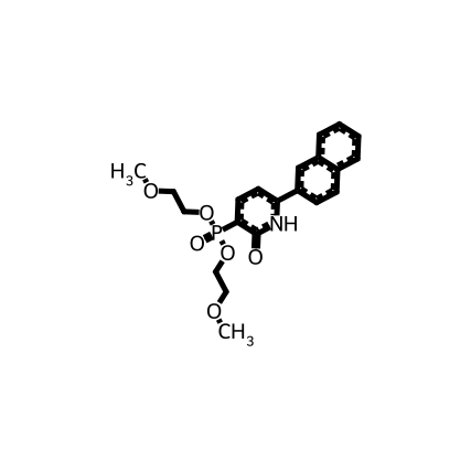 COCCOP(=O)(OCCOC)c1ccc(-c2ccc3ccccc3c2)[nH]c1=O